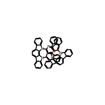 c1ccc(-c2nc(-n3c4ccccc4c4ccc5c6ccccc6n(-c6ccc7ccccc7c6)c5c43)cc(-n3c4ccccc4c4ccc5c6ccccc6n(-c6ccc7ccccc7c6)c5c43)n2)cc1